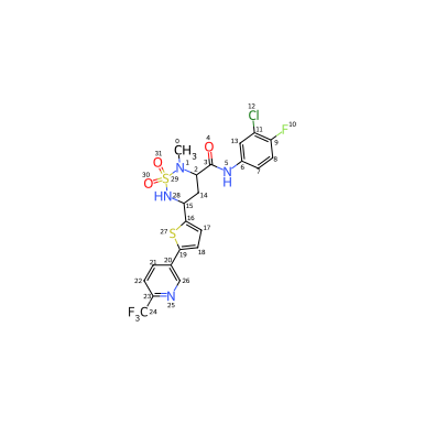 CN1C(C(=O)Nc2ccc(F)c(Cl)c2)CC(c2ccc(-c3ccc(C(F)(F)F)nc3)s2)NS1(=O)=O